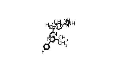 CC(C)c1cc(-c2ccc(F)cc2)nn2cc(C(=O)N3CCN(c4nn[nH]n4)CC3(C)C)nc12